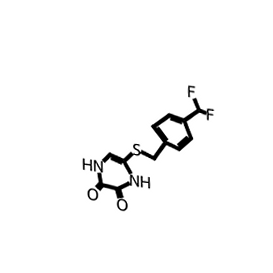 O=c1[nH]cc(SCc2ccc(C(F)F)cc2)[nH]c1=O